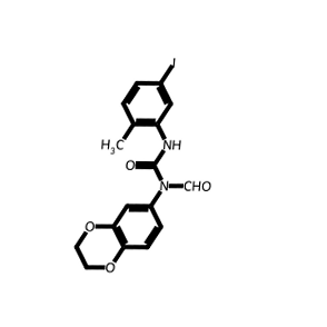 Cc1ccc(I)cc1NC(=O)N(C=O)c1ccc2c(c1)OCCO2